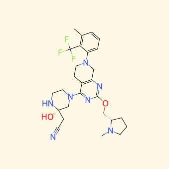 Cc1cccc(N2CCc3c(nc(OC[C@@H]4CCCN4C)nc3N3CCN[C@](O)(CC#N)C3)C2)c1C(F)(F)F